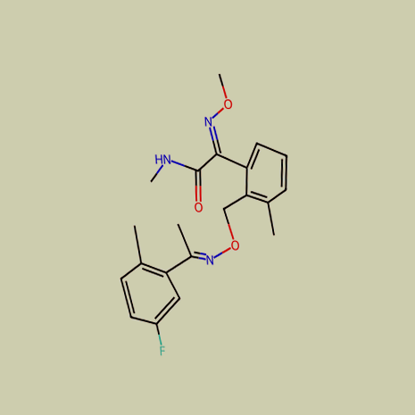 CNC(=O)/C(=N/OC)c1cccc(C)c1CO/N=C(\C)c1cc(F)ccc1C